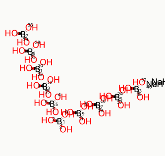 OB(O)O.OB(O)O.OB(O)O.OB(O)O.OB(O)O.OB(O)O.OB(O)O.OB(O)O.OB(O)O.OB(O)O.[NaH].[NaH]